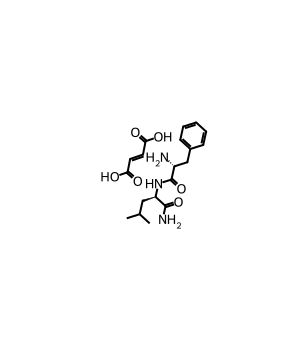 CC(C)C[C@@H](NC(=O)[C@H](N)Cc1ccccc1)C(N)=O.O=C(O)/C=C/C(=O)O